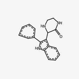 O=C1NCCNC1c1c(-c2ccccc2)[nH]c2ccccc12